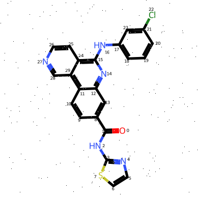 O=C(Nc1nccs1)c1ccc2c(c1)nc(Nc1cccc(Cl)c1)c1ccncc12